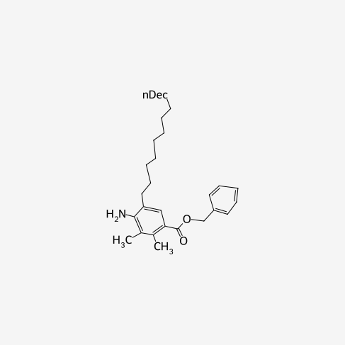 CCCCCCCCCCCCCCCCCCc1cc(C(=O)OCc2ccccc2)c(C)c(C)c1N